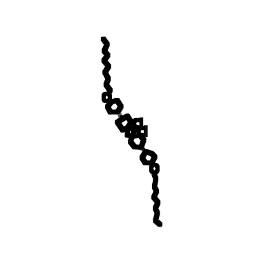 CCCCCCCCCCO[C@H]1CC[C@H](C2CCC3(CC2)CC2(CCC([C@H]4CC[C@H](OCCCCCCCCCC)CC4)CC2)C3(Cl)Cl)CC1